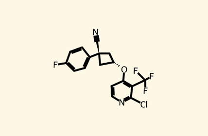 N#C[C@]1(c2ccc(F)cc2)C[C@@H](Oc2ccnc(Cl)c2C(F)(F)F)C1